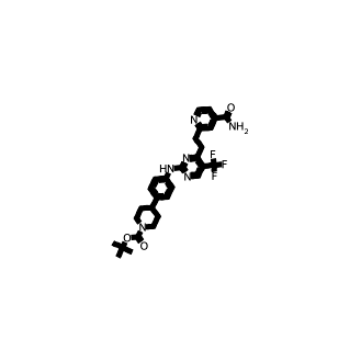 CC(C)(C)OC(=O)N1CCC(c2ccc(Nc3ncc(C(F)(F)F)c(CCc4cc(C(N)=O)ccn4)n3)cc2)CC1